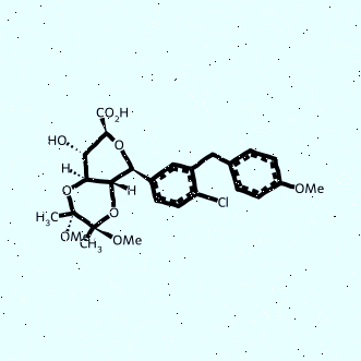 COc1ccc(Cc2cc([C@@H]3O[C@H](C(=O)O)[C@@H](O)[C@@H]4O[C@@](C)(OC)[C@](C)(OC)O[C@H]43)ccc2Cl)cc1